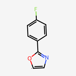 Fc1ccc(-c2nc[c]o2)cc1